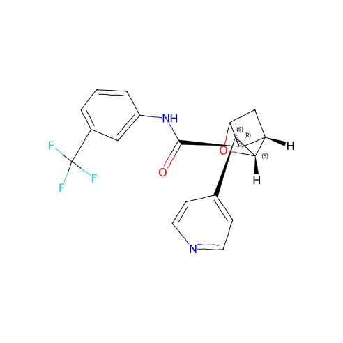 O=C(Nc1cccc(C(F)(F)F)c1)[C@@H]1[C@@H](c2ccncc2)[C@H]2O[C@]13C[C@@H]2C3